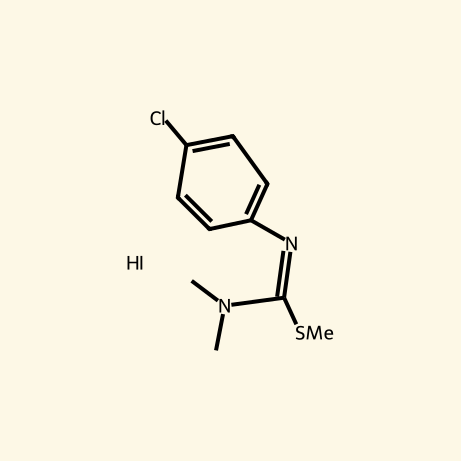 CSC(=Nc1ccc(Cl)cc1)N(C)C.I